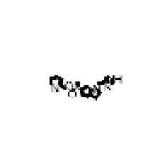 CN(C(=O)OCc1ccccn1)c1ccc2c(c1)N(Cc1c[nH]cn1)CC2